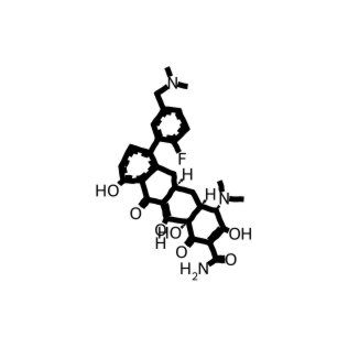 CN(C)Cc1ccc(F)c(-c2ccc(O)c3c2C[C@H]2C[C@H]4[C@H](N(C)C)C(O)=C(C(N)=O)C(=O)[C@@]4(O)C(O)=C2C3=O)c1